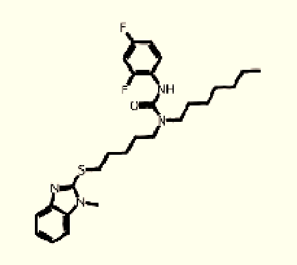 CCCCCCCN(CCCCCSc1nc2ccccc2n1C)C(=O)Nc1ccc(F)cc1F